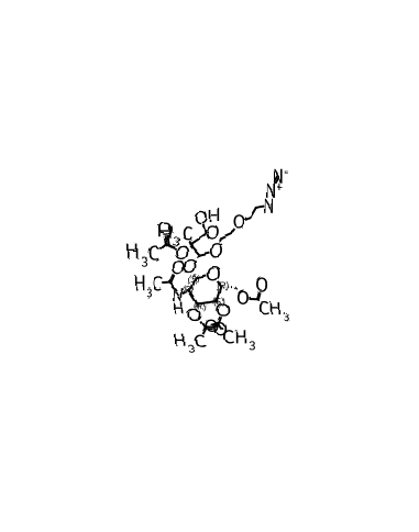 CC(=O)N[C@H]1[C@H](OC(OCCOCCN=[N+]=[N-])C(C)(OC(C)=O)C(=O)O)O[C@H](COC(C)=O)[C@@H](OC(C)=O)[C@@H]1OC(C)=O